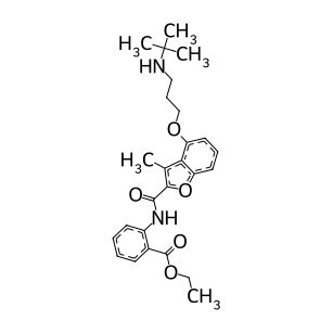 CCOC(=O)c1ccccc1NC(=O)c1oc2cccc(OCCCNC(C)(C)C)c2c1C